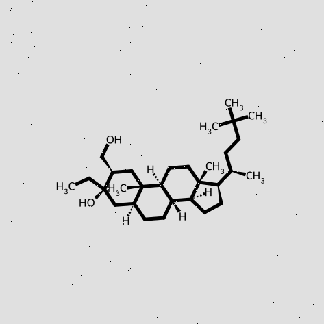 CC[C@@]1(O)C[C@@H]2CC[C@@H]3[C@H](CC[C@]4(C)[C@@H]([C@H](C)CCC(C)(C)C)CC[C@@H]34)[C@@]2(C)C[C@@H]1CO